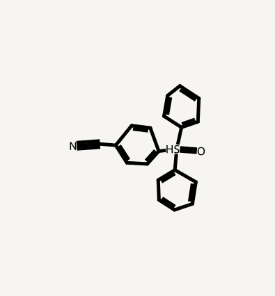 N#Cc1ccc([SH](=O)(c2ccccc2)c2ccccc2)cc1